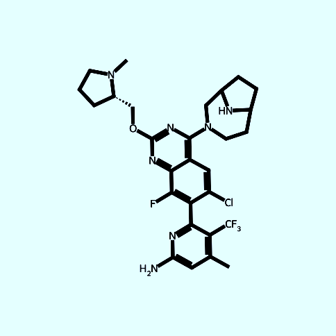 Cc1cc(N)nc(-c2c(Cl)cc3c(N4CCC5CCC(C4)N5)nc(OC[C@@H]4CCCN4C)nc3c2F)c1C(F)(F)F